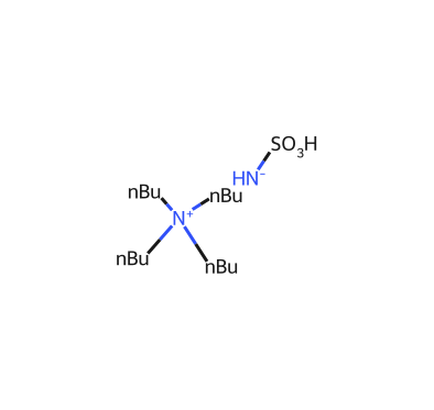 CCCC[N+](CCCC)(CCCC)CCCC.[NH-]S(=O)(=O)O